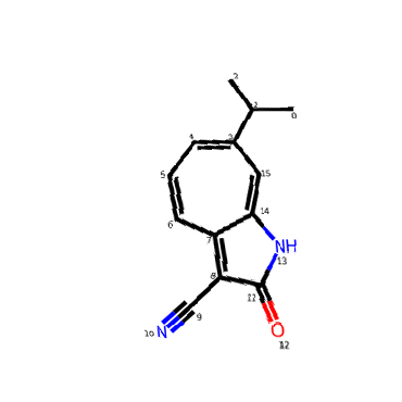 CC(C)c1cccc2c(C#N)c(=O)[nH]c-2c1